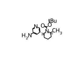 C[C@H]1CCC[C@H](c2cncc(N)c2)N1C(=O)OC(C)(C)C